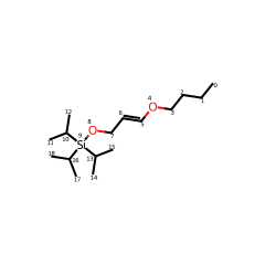 CCCCOC=CCO[Si](C(C)C)(C(C)C)C(C)C